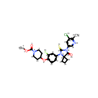 CC(C)(C)OC(=O)N1CCC(Oc2ccc(N3C(=S)N(c4cnc(C#N)c(Cl)c4)C(=O)C34CCC4)cc2F)CC1